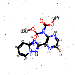 CC(C)OC(=O)N(C(=O)OC(C)(C)C)c1ncc(Br)nc1-c1nc2ccccn2n1